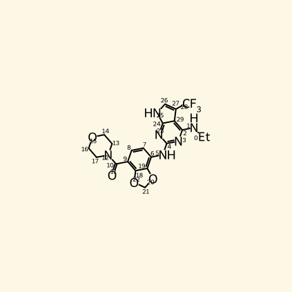 CCNc1nc(Nc2ccc(C(=O)N3CCOCC3)c3c2OCO3)nc2[nH]cc(C(F)(F)F)c12